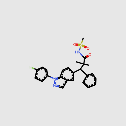 CC(C)(C(=O)NS(C)(=O)=O)C(c1ccccc1)c1ccc2c(cnn2-c2ccc(F)cc2)c1